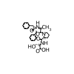 C[C@H](NP(=O)(Cc1ccccc1)Cc1ccccc1)C(=O)N1CCC[C@H]1C(=O)N[C@@H](CO)C(=O)O